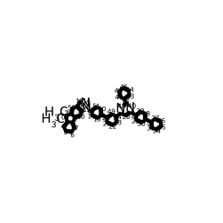 CC1(C)c2ccccc2-c2cc3c(cnn3-c3ccc(-c4cccc(-c5cc(-c6ccc(-c7ccccc7)cc6)nc(-c6ccccc6)n5)c4)cc3)cc21